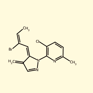 C=c1cnn(-c2nc(C)ccc2Cl)/c1=C/C(Br)=C\C